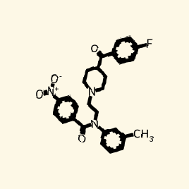 Cc1cccc(N(CCN2CCC(C(=O)c3ccc(F)cc3)CC2)C(=O)c2ccc([N+](=O)[O-])cc2)c1